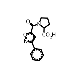 O=C(O)C1CCCN1C(=O)c1cc(-c2cc[c]cc2)no1